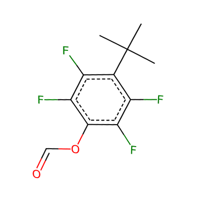 CC(C)(C)c1c(F)c(F)c(OC=O)c(F)c1F